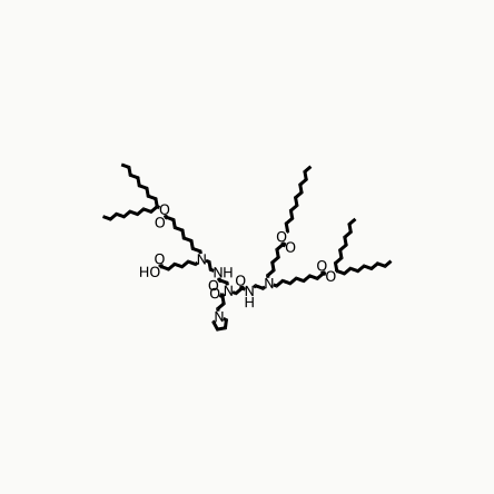 CCCCCCCCCCCOC(=O)CCCCCN(CCCCCCCC(=O)OC(CCCCCCCC)CCCCCCCC)CCNC(=O)CN(CC(=O)NCCN(CCCCCCCC(=O)OC(CCCCCCCC)CCCCCCCC)CCCCCC(=O)O)C(=O)CCN1CCCC1